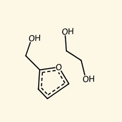 OCCO.OCc1ccco1